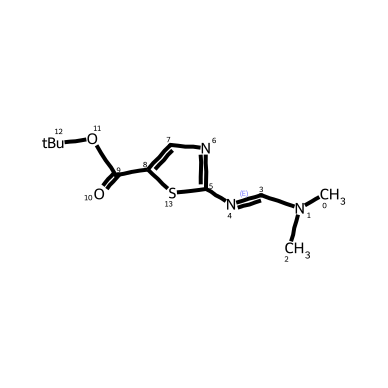 CN(C)/C=N/c1ncc(C(=O)OC(C)(C)C)s1